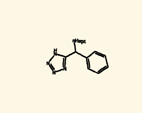 [CH2]CCCCCCC(c1ccccc1)c1nnn[nH]1